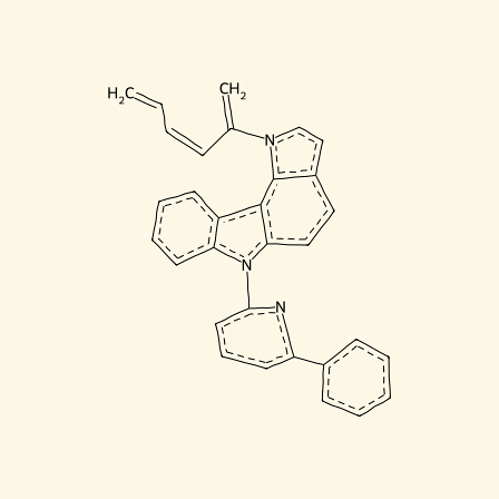 C=C/C=C\C(=C)n1ccc2ccc3c(c4ccccc4n3-c3cccc(-c4ccccc4)n3)c21